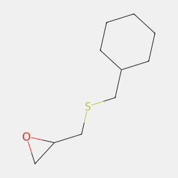 C1CCC(CSCC2CO2)CC1